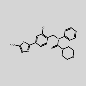 Cc1nnc(-c2ccc(CN(C(=O)N3CCOCC3)c3ccccc3)c(Cl)c2)o1